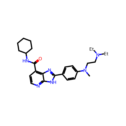 CCN(CC)CCN(C)c1ccc(-c2nc3c(C(=O)NC4CCCCC4)ccnc3[nH]2)cc1